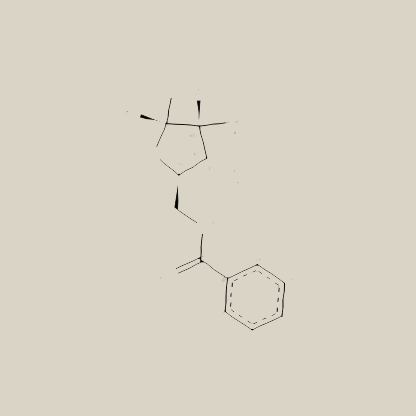 CC(=O)[C@]1(O)O[C@H](COC(=O)c2ccccc2)[C@@H](C)[C@]1(O)C(C)=O